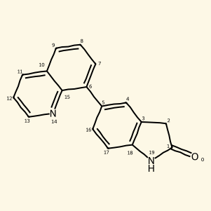 O=C1Cc2cc(-c3cccc4cccnc34)ccc2N1